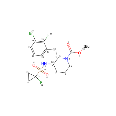 CC(C)(C)OC(=O)N1CCC[C@H](NS(=O)(=O)C2(F)CC2)[C@@H]1Cc1cccc(Br)c1F